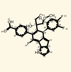 CC[C@@](O)(COC)C1=C(c2ccc(C(=O)O)cc2)C(F)=C2C(=Cc3cc[nH]c32)[C@@H]1c1ccc(F)c(F)c1